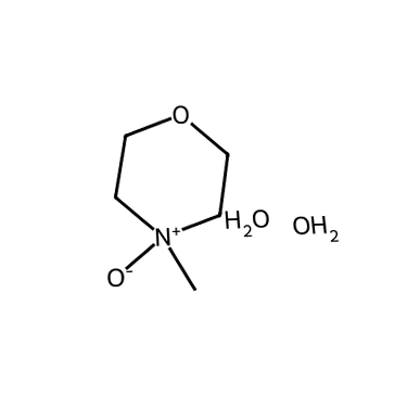 C[N+]1([O-])CCOCC1.O.O